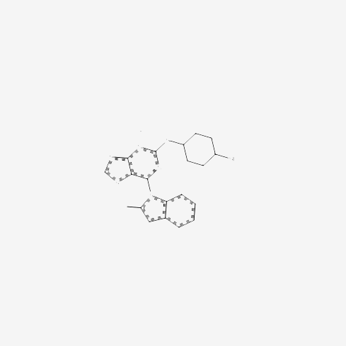 Cc1cc2ccccc2n1-c1nc(NC2CCC(N)CC2)nc2[nH]cnc12.Cl.Cl